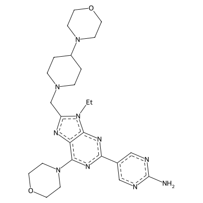 CCn1c(CN2CCC(N3CCOCC3)CC2)nc2c(N3CCOCC3)nc(-c3cnc(N)nc3)nc21